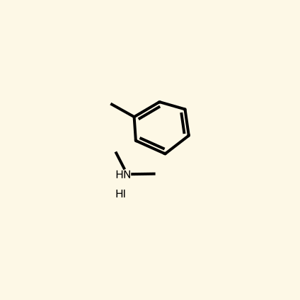 CNC.Cc1ccccc1.I